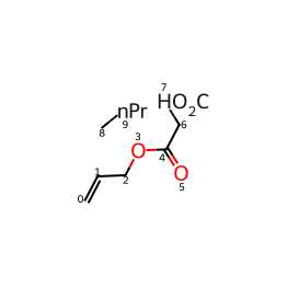 C=CCOC(=O)CC(=O)O.CCCC